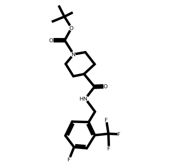 CC(C)(C)OC(=O)N1CCC(C(=O)NCc2ccc(F)cc2C(F)(F)F)CC1